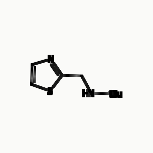 CC(C)(C)NCc1nccs1